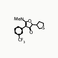 CNC1=C(c2cccc(C(F)(F)F)c2)C(=O)C(C2CCSC2)O1